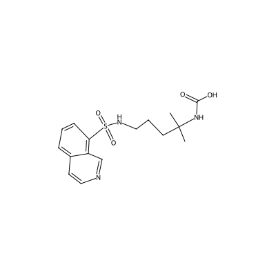 CC(C)(CCCNS(=O)(=O)c1cccc2ccncc12)NC(=O)O